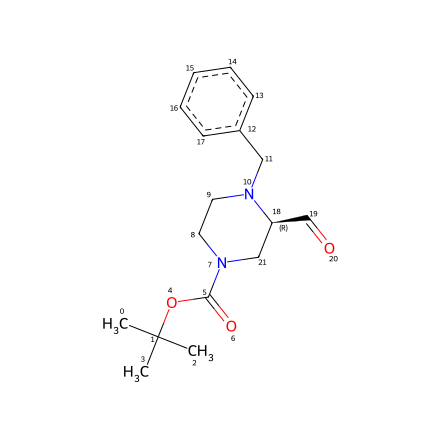 CC(C)(C)OC(=O)N1CCN(Cc2ccccc2)[C@@H](C=O)C1